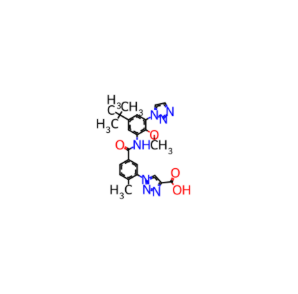 COc1c(NC(=O)c2ccc(C)c(-n3cc(C(=O)O)nn3)c2)cc(C(C)(C)C)cc1-n1ccnn1